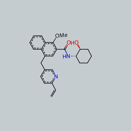 C=Cc1ccc(Cc2cc(C(=O)N[C@H]3CCCC[C@@H]3O)c(OC)c3ccccc23)cn1